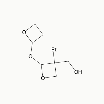 CCC1(CO)COC1OC1CCO1